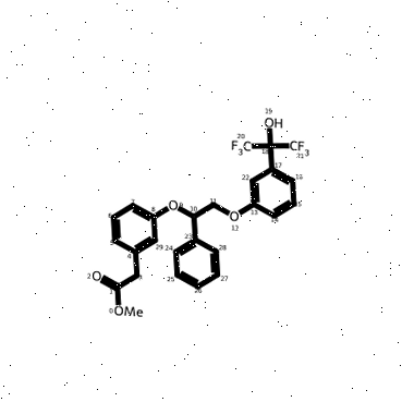 COC(=O)Cc1cccc(OC(COc2cccc(C(O)(C(F)(F)F)C(F)(F)F)c2)c2ccccc2)c1